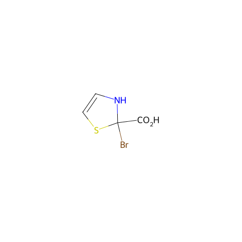 O=C(O)C1(Br)NC=CS1